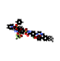 CC1(C)CCC(c2ccc(Cl)cc2)=C(CN2CCN3c4ccc(C(=O)NS(=O)(=O)c5ccc(N[C@H](CCN6C7CCC6CN(C(=O)OC(C)(C)C)C7)CSc6ccccc6)c(S(=O)(=O)C(F)(F)F)c5)cc4OC[C@@H]3C2)C1